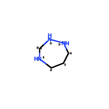 [CH]1NCCCNN1